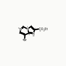 CCOC(=O)c1cn2cncc(Br)c2n1